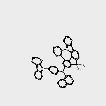 CC1(C)c2cc(N(c3ccc(-n4c5ccccc5c5ccccc54)cc3)c3cccc4ccccc34)cc3c2-c2c1ccc1c4ccccc4n(c21)-c1ccccc1-3